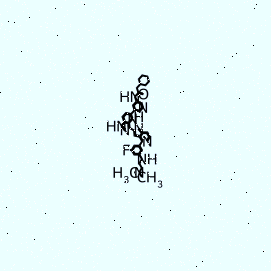 CN(C)CCNc1cc(F)cc(-c2nccc3[nH]c(-c4n[nH]c5ccc(-c6cncc(NC(=O)CC7CCCCC7)c6)nc45)cc23)c1